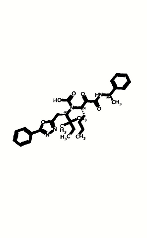 CCCC[C@@H](C(=O)C(=O)N[C@H](C)c1ccccc1)N(C(=O)O)[C@H](Cc1nnc(-c2ccccc2)o1)C(C)(C)CC